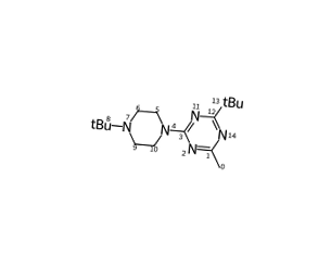 Cc1nc(N2CCN(C(C)(C)C)CC2)nc(C(C)(C)C)n1